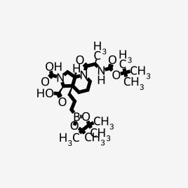 C[C@H](NC(=O)OC(C)(C)C)C(=O)N1CCC[C@@]2(CCCB3OC(C)(C)C(C)(C)O3)[C@@H]1CN(C(=O)O)[C@@H]2C(=O)O